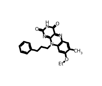 CCOc1cc2c(cc1C)nc1c(=O)[nH]c(=O)nc-1n2CCCc1ccccc1